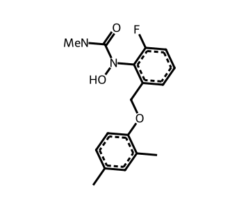 CNC(=O)N(O)c1c(F)cccc1COc1ccc(C)cc1C